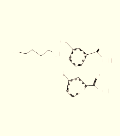 O=C(O)c1cccc(Cl)c1.O=C(O)c1cccc(Cl)c1.OCCCCO